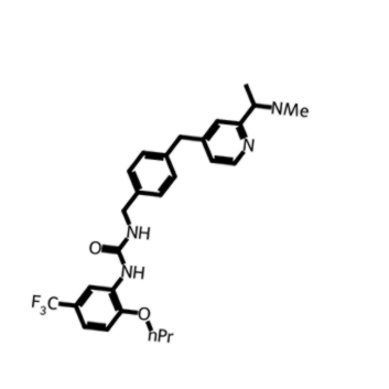 CCCOc1ccc(C(F)(F)F)cc1NC(=O)NCc1ccc(Cc2ccnc(C(C)NC)c2)cc1